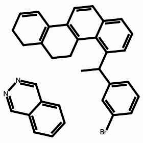 CC(c1cccc(Br)c1)c1cccc2ccc3c(c12)CCC1=C3C=CCC1.c1ccc2cnncc2c1